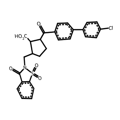 O=C(c1ccc(-c2ccc(Cl)cc2)cc1)C1CCC(CN2C(=O)c3ccccc3S2(=O)=O)C1C(=O)O